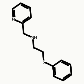 c1ccc(SCCNCc2ccccn2)cc1